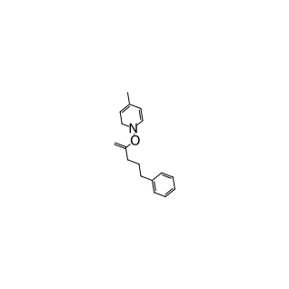 C=C(CCCc1ccccc1)ON1C=CC(C)=CC1